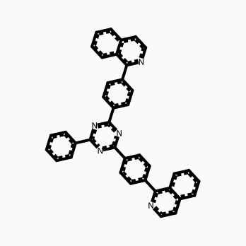 c1ccc(-c2nc(-c3ccc(-c4nccc5ccccc45)cc3)nc(-c3ccc(-c4nccc5ccccc45)cc3)n2)cc1